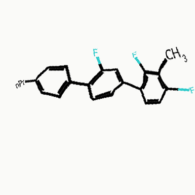 CCCc1ccc(-c2ccc(-c3ccc(F)c(C)c3F)cc2F)cc1